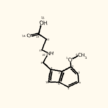 COc1cccc2c1C(CNCCC(=O)O)=C2